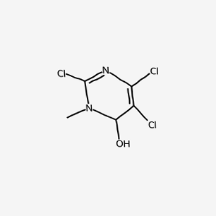 CN1C(Cl)=NC(Cl)=C(Cl)C1O